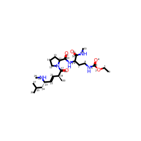 CCOC(=O)NCCC(NC(=O)C1CCCN1C(=O)[C@@H](C)/C=C/[C@H](CC(C)C)NC)C(=O)NC